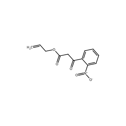 C=CCOC(=O)CC(=O)c1ccccc1[N+](=O)[O-]